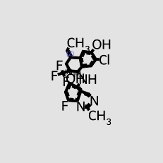 C/C=C1/C[C@](O)(C(F)(F)F)[C@H](Nc2ccc(F)c3nc(C)ncc23)c2cc(Cl)c(O)cc21